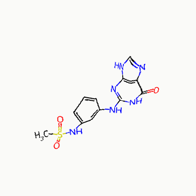 CS(=O)(=O)Nc1cccc(Nc2nc3[nH]cnc3c(=O)[nH]2)c1